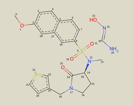 COc1ccc2ccc(S(=O)(=O)N(C)[C@H]3CCN(Cc4ccsc4)C3=O)cc2c1.NC=NO